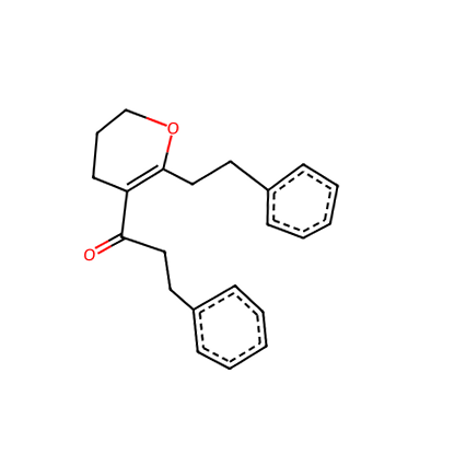 O=C(CCc1ccccc1)C1=C(CCc2ccccc2)OCCC1